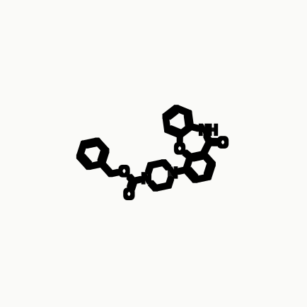 O=C1Nc2ccccc2Oc2c1cccc2N1CCN(C(=O)OCc2ccccc2)CC1